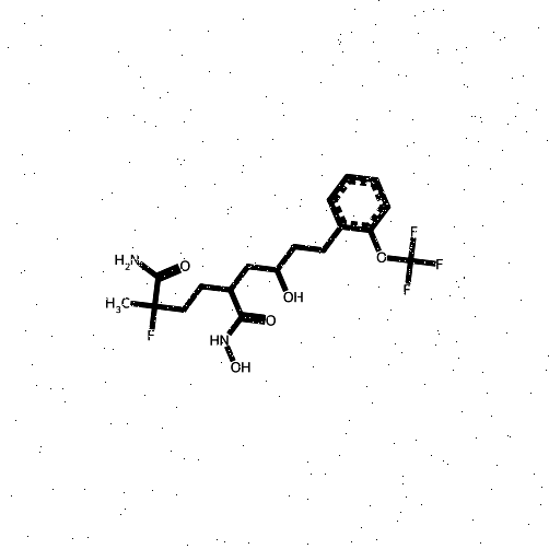 CC(F)(CCC(CC(O)[CH]Cc1ccccc1OC(F)(F)F)C(=O)NO)C(N)=O